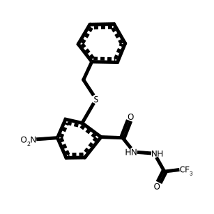 O=C(NNC(=O)C(F)(F)F)c1ccc([N+](=O)[O-])cc1SCc1ccccc1